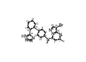 Cc1cc(N(C)c2ccc(-c3ccccc3-c3nnn[nH]3)cc2)n2ncc(Br)c2n1